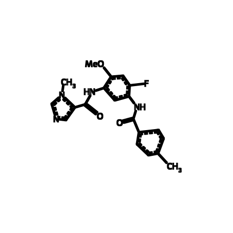 COc1cc(F)c(NC(=O)c2ccc(C)cc2)cc1NC(=O)c1cncn1C